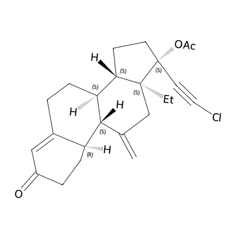 C=C1C[C@@]2(CC)[C@@H](CC[C@]2(C#CCl)OC(C)=O)[C@@H]2CCC3=CC(=O)CC[C@@H]3[C@@H]12